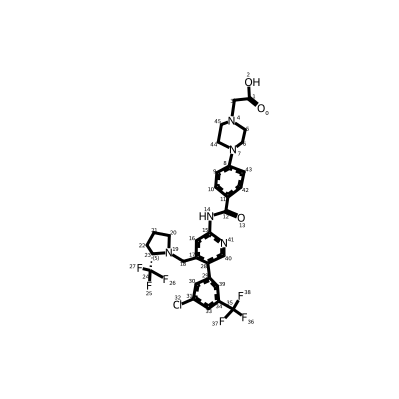 O=C(O)CN1CCN(c2ccc(C(=O)Nc3cc(CN4CCC[C@H]4C(F)(F)F)c(-c4cc(Cl)cc(C(F)(F)F)c4)cn3)cc2)CC1